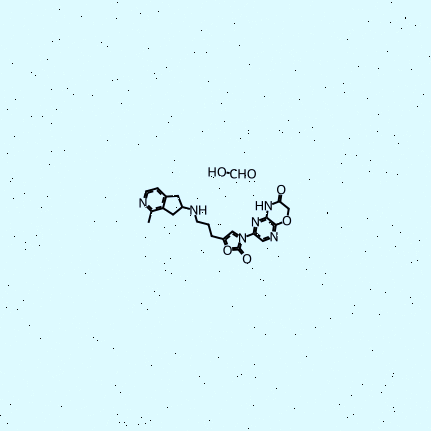 Cc1nccc2c1CC(NCCCc1cn(-c3cnc4c(n3)NC(=O)CO4)c(=O)o1)C2.O=CO